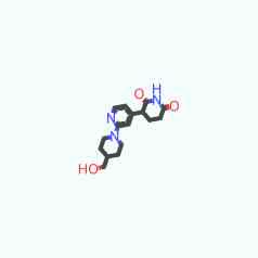 O=C1CCC(c2ccnc(N3CCC(CO)CC3)c2)C(=O)N1